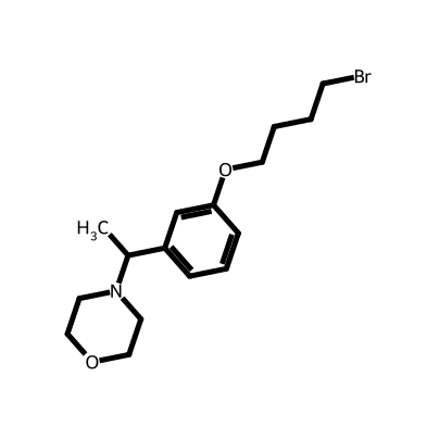 CC(c1cccc(OCCCCBr)c1)N1CCOCC1